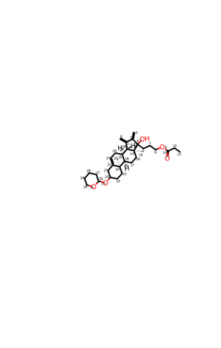 C=C1C(=C)C(O)(CCCOC(=O)CC)[C@@]2(C)CC[C@@H]3[C@@H](CC=C4CC(OC5CCCCO5)CC[C@@]43C)[C@H]12